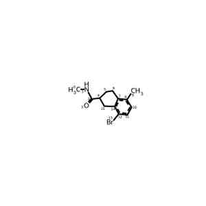 CNC(=O)C1CCc2c(C)ccc(Br)c2C1